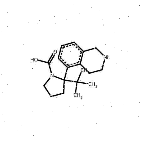 CC(C)(C)C1(c2cccc3c2CCNC3)CCCN1C(=O)O